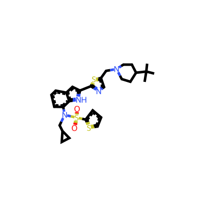 CC(C)(C)C1CCN(Cc2cnc(-c3cc4cccc(N(CC5CC5)S(=O)(=O)c5cccs5)c4[nH]3)s2)CC1